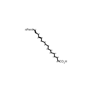 CCCCC/C=C/C/C=C/CCCCCCCCCCCC(=O)O